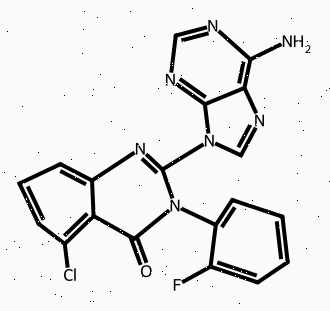 Nc1ncnc2c1ncn2-c1nc2cccc(Cl)c2c(=O)n1-c1ccccc1F